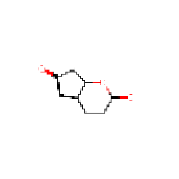 O=C1CC2CCC(O)OC2C1